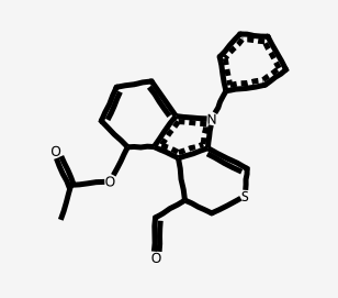 CC(=O)OC1C=CC=c2c1c1c(n2-c2ccccc2)=CSCC1C=O